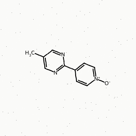 Cc1cnc(-c2cc[n+]([O-])cc2)nc1